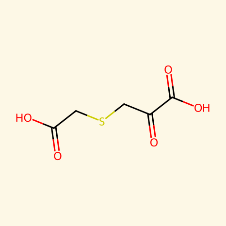 O=C(O)CSCC(=O)C(=O)O